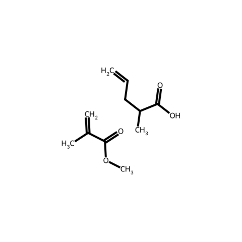 C=C(C)C(=O)OC.C=CCC(C)C(=O)O